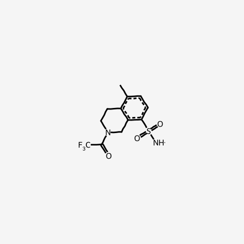 Cc1ccc(S([NH])(=O)=O)c2c1CCN(C(=O)C(F)(F)F)C2